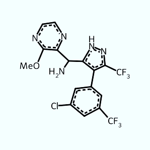 COc1nccnc1C(N)c1[nH]nc(C(F)(F)F)c1-c1cc(Cl)cc(C(F)(F)F)c1